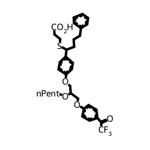 CCCCCOC(COc1ccc(C(=O)C(F)(F)F)cc1)COc1ccc(C(CCCc2ccccc2)SCCC(=O)O)cc1